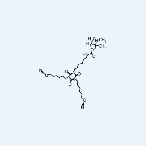 CN(C)C(C)(C)COC(=O)NCCCCCCn1c(=O)n(CCCCCCOC#N)c(=O)n(CCCCCCOC#N)c1=O